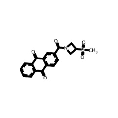 CS(=O)(=O)C1CN(C(=O)c2ccc3c(c2)C(=O)c2ccccc2C3=O)C1